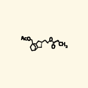 C=CC(=O)OCCC1CC2C3CCC(COC(C)=O)(C3)C2C1